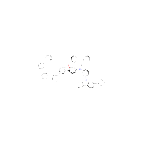 c1ccc(-c2cccc(-c3cccc(-c4cccc(-c5ccc6oc7cc(-n8c9cc(-n%10c%11ccccc%11c%11ccc(-c%12ccccc%12)cc%11%10)ccc9c9c%10ccccc%10n(-c%10ccccc%10)c98)ccc7c6c5)c4)c3)c2)cc1